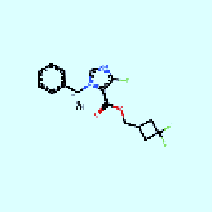 C[C@H](c1ccccc1)n1cnc(F)c1C(=O)OCC1CC(F)(F)C1